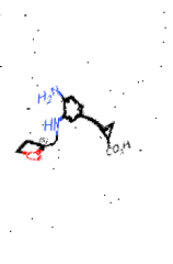 Nc1ccc(C2CC2C(=O)O)cc1NC[C@@H]1CCO1